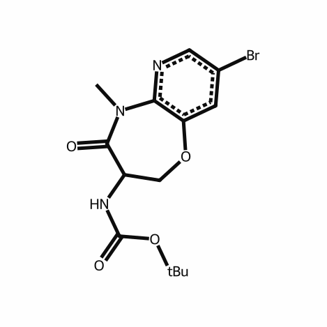 CN1C(=O)C(NC(=O)OC(C)(C)C)COc2cc(Br)cnc21